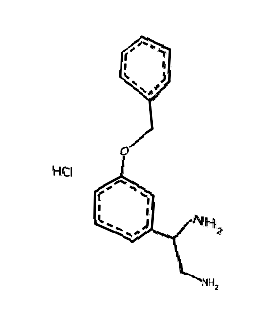 Cl.NCC(N)c1cccc(OCc2ccccc2)c1